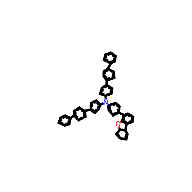 C1=CC2Oc3c(-c4ccc(N(c5ccc(-c6ccc(-c7ccccc7)cc6)cc5)c5ccc(-c6ccc(-c7ccccc7)cc6)cc5)cc4)cccc3C2C=C1